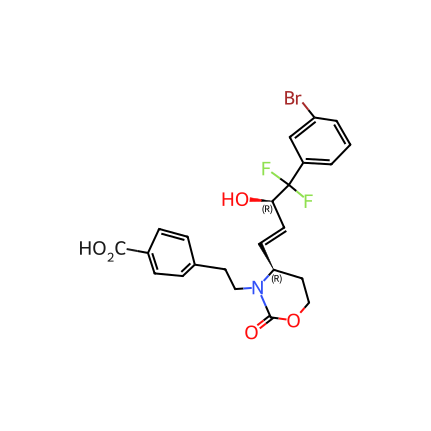 O=C(O)c1ccc(CCN2C(=O)OCC[C@@H]2C=C[C@@H](O)C(F)(F)c2cccc(Br)c2)cc1